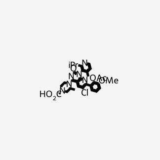 COc1cccc(-c2nc3c(cc2Cl)c(N2CCN(C(=O)O)CC2C)nc(=O)n3-c2c(C)ccnc2C(C)C)c1OC(C)=O